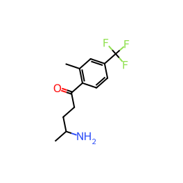 Cc1cc(C(F)(F)F)ccc1C(=O)CCC(C)N